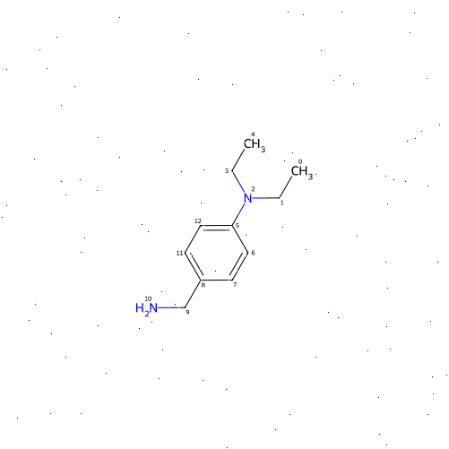 CCN(CC)c1ccc(CN)cc1